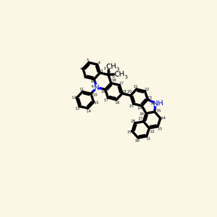 CC1(C)c2ccccc2N(c2ccccc2)c2ccc(-c3ccc4c(c3)C3=c5ccccc5=CCC3N4)cc21